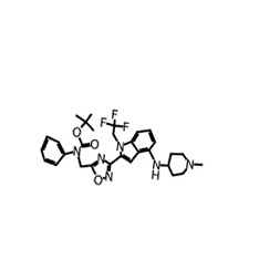 CN1CCC(Nc2cccc3c2cc(-c2noc(CN(C(=O)OC(C)(C)C)c4ccccc4)n2)n3CC(F)(F)F)CC1